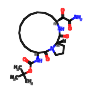 CC(C)(C)OC(=O)N[C@H]1CCCCCCCCCC[C@@H](C(=O)C(N)=O)NC(=O)[C@@H]2CCCN2C1=O